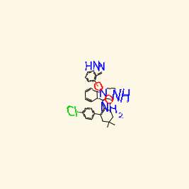 CC1(C)CCC(CC2CNCCN2C2(Oc3cccc4[nH]ncc34)C=CC=CC2C(N)=O)=C(c2ccc(Cl)cc2)C1